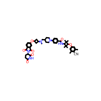 Cc1cc(OC2C(C)(C)C(NC(=O)c3ccc(N4CCC(CN(C)C5CC(Oc6ccc7c(c6)C(=O)N([C@@H]6CCC(=O)NC6=O)C7=O)C5)CC4)cc3)C2(C)C)cc(C)c1C#N